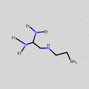 CCN(CC)C(CNCC[SiH3])N(CC)CC